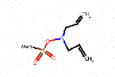 C=CCN(CC=C)OS(=O)(=O)NC